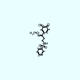 CON=C(CCNS(=O)(=O)c1cccnc1)c1ccc(Cl)c(Cl)c1